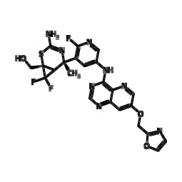 C[C@]1(c2cc(Nc3ncnc4cc(OCc5ncco5)cnc34)cnc2F)N=C(N)S[C@]2(CO)C1C2(F)F